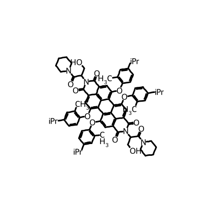 Cc1cc(C(C)C)ccc1Oc1cc2c3c(cc(Oc4ccc(C(C)C)cc4C)c4c5c(Oc6ccc(C(C)C)cc6C)cc6c7c(cc(Oc8ccc(C(C)C)cc8C)c(c1c34)c75)C(=O)N(C(CO)C(=O)N1CCCCC1)C6=O)C(=O)N(C(CO)C(=O)N1CCCCC1)C2=O